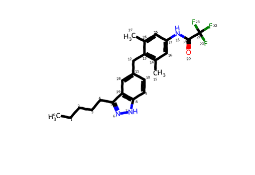 CCCCCc1n[nH]c2ccc(Cc3c(C)cc(NC(=O)C(F)(F)F)cc3C)cc12